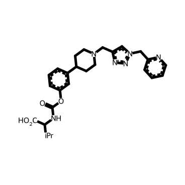 CC(C)C(NC(=O)Oc1cccc(C2CCN(Cc3cn(Cc4ccccn4)nn3)CC2)c1)C(=O)O